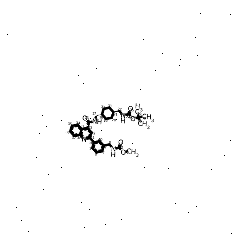 COC(=O)NCc1cccc(-c2cc(C(=O)NC[C@H]3CC[C@H](CNC(=O)OC(C)(C)C)CC3)c3ccccc3n2)c1